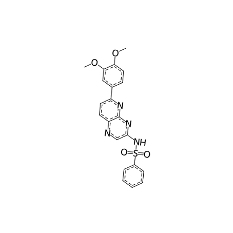 COc1ccc(-c2ccc3ncc(NS(=O)(=O)c4ccccc4)nc3n2)cc1OC